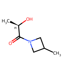 CC1CN(C(=O)[C@@H](C)O)C1